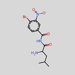 CC(C)CC(N)C(=O)NC(=O)c1ccc(Br)c([N+](=O)[O-])c1